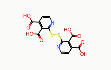 O=C(O)c1ccnc(SSc2nccc(C(=O)O)c2C(=O)O)c1C(=O)O